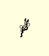 CCCCON1C(=O)N2CC1CC[C@H]2C(=O)ON(CC)CC